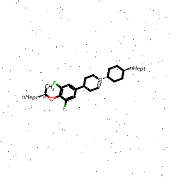 CCCCCCC[C@@H](C)Oc1c(F)cc(C2CC[SiH]([C@H]3CC[C@H](CCCCCCC)CC3)CC2)cc1F